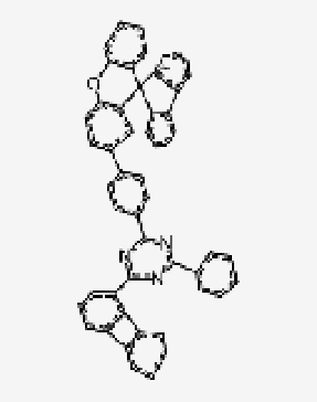 c1ccc(-c2nc(-c3ccc(-c4ccc5c(c4)C4(c6ccccc6O5)c5ccccc5-c5ccccc54)cc3)nc(-c3cccc4c3-c3ccccc3-4)n2)cc1